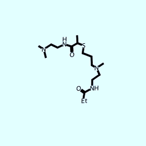 CCC(=O)NCCN(C)CCCSC(C)C(=O)NCCN(C)C